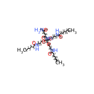 CCCCCCC(=O)NCCCOCC(COCCCNC(=O)CCCCCC)(COCCCNC(=O)CCCCCC)NC(=O)CCC(N)=O